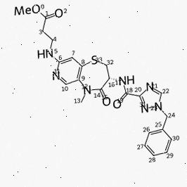 COC(=O)CCNc1cc2c(cn1)N(C)C(=O)[C@@H](NC(=O)c1ncn(Cc3ccccc3)n1)CS2